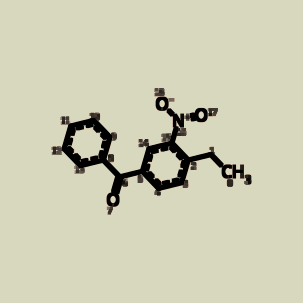 CCc1ccc(C(=O)c2ccccc2)cc1[N+](=O)[O-]